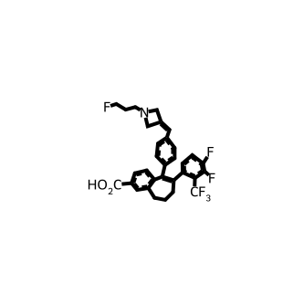 O=C(O)c1ccc2c(c1)CCCC(c1ccc(F)c(F)c1C(F)(F)F)=C2c1ccc(C=C2CN(CCCF)C2)cc1